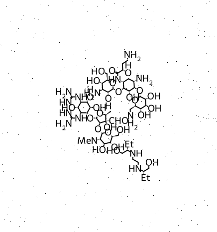 CC[C@@H](CO)NCCN[C@@H](CC)CO.CN[C@@H]1[C@H](O[C@H]2[C@H](O[C@H]3[C@H](O)[C@@H](O)[C@H](NC(=N)N)[C@@H](O)[C@@H]3NC(=N)N)O[C@@H](C)[C@]2(O)C=O)O[C@@H](CO)[C@H](O)[C@H]1O.NCC[C@H](O)C(=O)N[C@@H]1C[C@H](N)[C@@H](O[C@H]2O[C@H](CN)[C@@H](O)[C@H](O)[C@H]2O)[C@H](O)[C@H]1O[C@H]1O[C@H](CO)[C@@H](O)[C@H](N)[C@H]1O